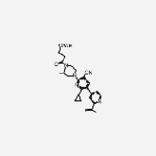 C=C(C)c1cc(-c2cc(C#N)c(N3CCN(C(=O)CCOC)C(C)C3)nc2C2CC2)ccn1